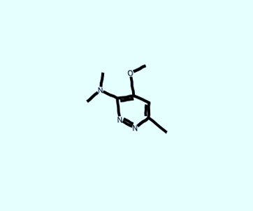 COc1cc(C)nnc1N(C)C